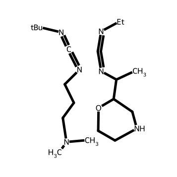 CCN=C=NC(C)C1CNCCO1.CN(C)CCCN=C=NC(C)(C)C